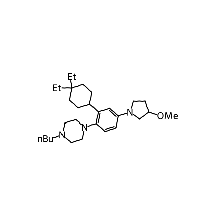 CCCCN1CCN(c2ccc(N3CCC(OC)C3)cc2C2CCC(CC)(CC)CC2)CC1